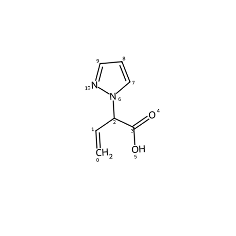 C=CC(C(=O)O)n1cccn1